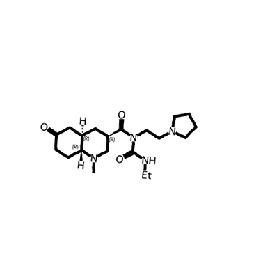 CCNC(=O)N(CCN1CCCC1)C(=O)[C@@H]1C[C@@H]2CC(=O)CC[C@H]2N(C)C1